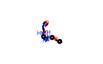 O=C(C#CCN1CCOCC1)Nc1ccc2ncnc(Nc3ccc(OCc4ccccc4)cc3)c2c1